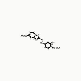 COc1ccc2sc(COc3ccc(NC(C)=O)c(C)c3)nc2c1